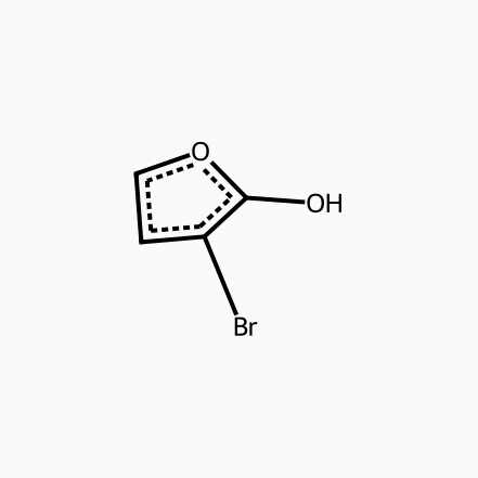 Oc1occc1Br